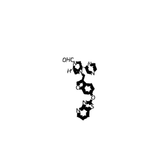 O=CN1C[C@]2(c3cnccn3)C[C@H]1CN2Cc1coc2cc(Oc3nc4ncccc4s3)ccc12